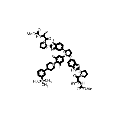 COC(=O)NC(C(=O)N1CCC[C@H]1c1nc2cc([C@H]3CC[C@H](c4ccc5[nH]c([C@@H]6CCCN6C(=O)[C@@H](NC(=O)OC)C(C)C)nc5c4)N3c3cc(F)c(N4CCC(c5cccc(S(C)(C)C)c5)CC4)c(F)c3)ccc2[nH]1)C(C)C